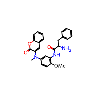 COc1ccc(N(C)c2cc3ccccc3oc2=O)cc1NC(=O)C(N)Cc1ccccc1